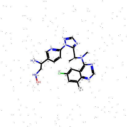 C[C@@H](c1ncnn1-c1ccc(C(N)CNO)cn1)N(C)c1ncnc2c(C(F)(F)F)cc(Cl)cc12